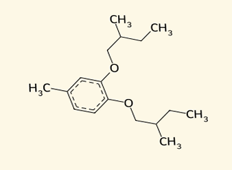 CCC(C)COc1ccc(C)cc1OCC(C)CC